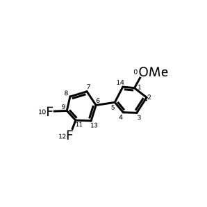 COc1[c]ccc(-c2ccc(F)c(F)c2)c1